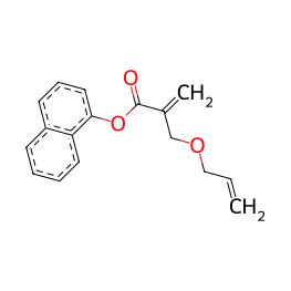 C=CCOCC(=C)C(=O)Oc1cccc2ccccc12